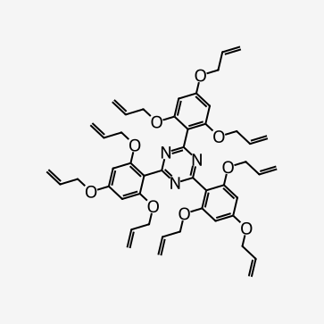 C=CCOc1cc(OCC=C)c(-c2nc(-c3c(OCC=C)cc(OCC=C)cc3OCC=C)nc(-c3c(OCC=C)cc(OCC=C)cc3OCC=C)n2)c(OCC=C)c1